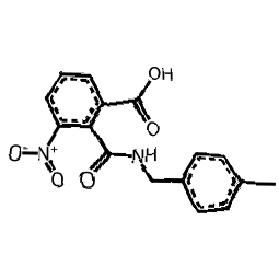 Cc1ccc(CNC(=O)c2c(C(=O)O)cccc2[N+](=O)[O-])cc1